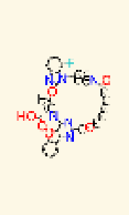 O=C(O)[C@@H]1C[C@H]2CN1c1nc(nc3c1oc1ccccc13)COCCCCCC(=O)N1CCC(CC1)n1c(nc3cccc(F)c31)O2